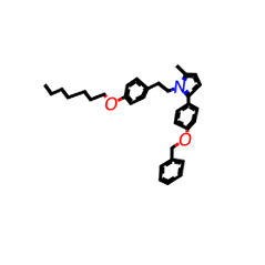 CCCCCCCOc1ccc(CCn2c(C)ccc2-c2ccc(OCc3ccccc3)cc2)cc1